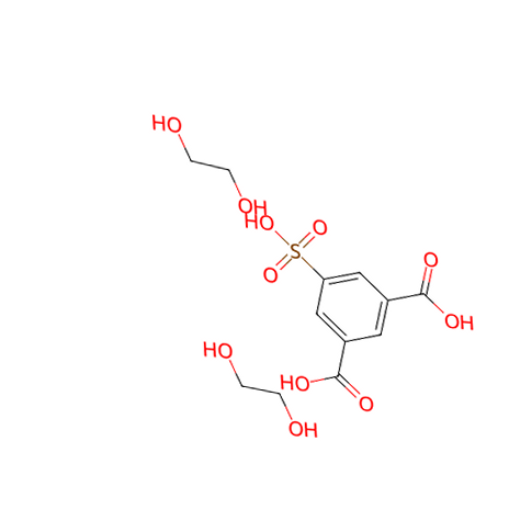 O=C(O)c1cc(C(=O)O)cc(S(=O)(=O)O)c1.OCCO.OCCO